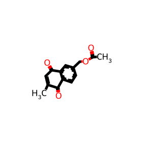 CC(=O)OCc1ccc2c(c1)C(=O)C=C(C)C2=O